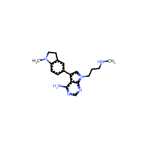 CNCCCn1cc(-c2ccc3c(c2)CCN3C)c2c(N)ncnc21